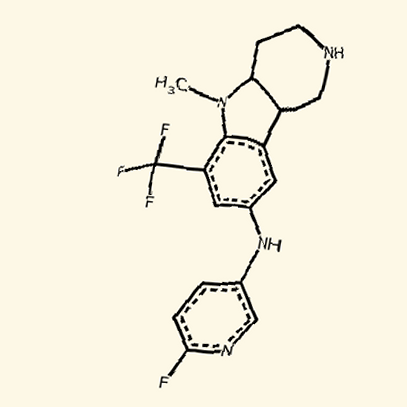 CN1c2c(cc(Nc3ccc(F)nc3)cc2C(F)(F)F)C2CNCCC21